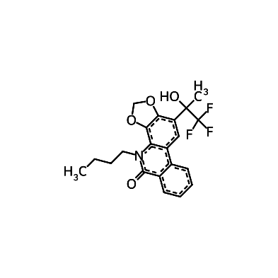 CCCCn1c(=O)c2ccccc2c2cc(C(C)(O)C(F)(F)F)c3c(c21)OCO3